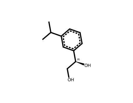 CC(C)c1cccc([C@@H](O)CO)c1